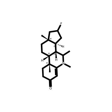 CC1[C@@H]2[C@@H](CC[C@]3(C)CC(F)C[C@@H]23)[C@@]2(C)CCC(=O)C=C2N1C